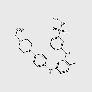 Cc1cnc(Nc2ccc(N3CCN(CC(=O)O)CC3)cc2)nc1Nc1cccc(S(=O)(=O)NC(C)(C)C)c1